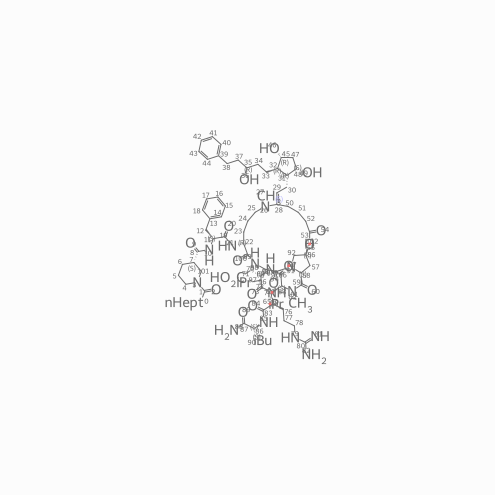 CCCCCCCC(=O)N1CCC[C@H](C(=O)N[C@@H](Cc2ccccc2)C(=O)N[C@@H]2CCCN(C)/C(=C/C[C@@H]3[C@@H](CC[C@@H](O)CCc4ccccc4)[C@H](O)C[C@@H]3O)CCCC(=O)O[C@@H]3C[C@@H](C(=O)N(C)[C@@H](CC(C)C)C(=O)N[C@@H](CC(=O)O)C(=O)N[C@@H](CCCNC(=N)N)C(=O)N[C@H](C(N)=O)[C@@H](C)CC)N(C3)C(=O)[C@H](CC(C)C)NC2=O)C1